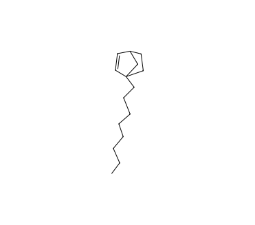 CCCCCCCCC12C=CC(CC1)C2